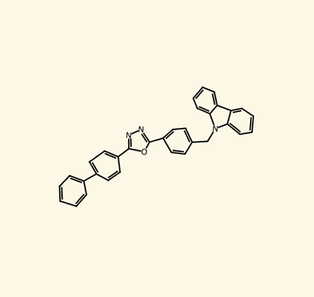 c1ccc(-c2ccc(-c3nnc(-c4ccc(Cn5c6ccccc6c6ccccc65)cc4)o3)cc2)cc1